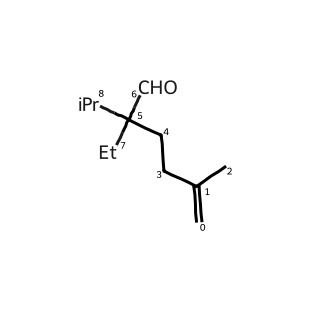 C=C(C)CCC(C=O)(CC)C(C)C